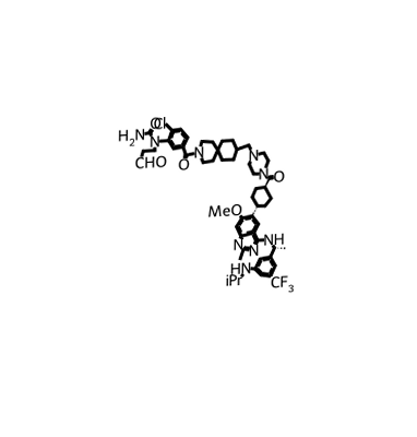 COc1cc2nc(C)nc(N[C@H](C)c3cc(NC(C)C)cc(C(F)(F)F)c3)c2cc1[C@H]1CC[C@H](C(=O)N2CCN(CC3CCC4(CC3)CCN(C(=O)c3ccc(Cl)c(N(CCC=O)C(N)=O)c3)CC4)CC2)CC1